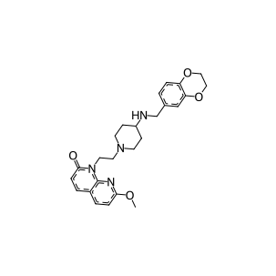 COc1ccc2ccc(=O)n(CCN3CCC(NCc4ccc5c(c4)OCCO5)CC3)c2n1